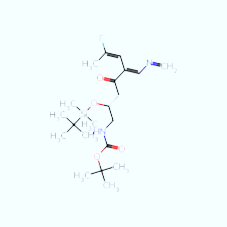 C=N/C=C(\C=C(/C)F)C(=O)C[C@H](CNC(=O)OC(C)(C)C)O[Si](C)(C)C(C)(C)C